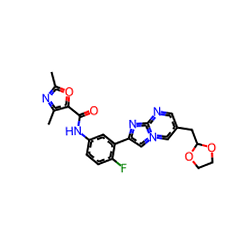 Cc1nc(C)c(C(=O)Nc2ccc(F)c(-c3cn4cc(CC5OCCO5)cnc4n3)c2)o1